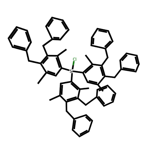 Cc1cc([Si](Cl)(c2cc(C)c(Cc3ccccc3)c(Cc3ccccc3)c2C)c2cc(C)c(Cc3ccccc3)c(Cc3ccccc3)c2C)c(C)c(Cc2ccccc2)c1Cc1ccccc1